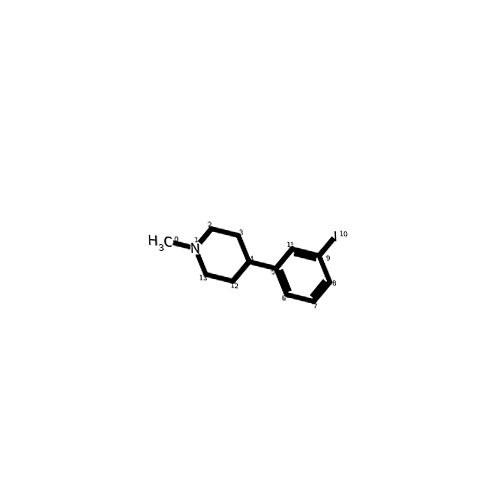 CN1CCC(c2cccc(I)c2)CC1